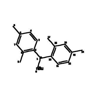 CCCCP(c1ccc(C)cc1C)c1ccc(C)cc1C